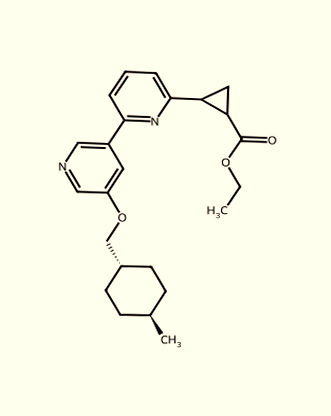 CCOC(=O)C1CC1c1cccc(-c2cncc(OC[C@H]3CC[C@H](C)CC3)c2)n1